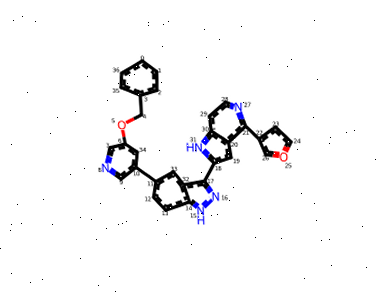 c1ccc(COc2cncc(-c3ccc4[nH]nc(-c5cc6c(-c7ccoc7)nccc6[nH]5)c4c3)c2)cc1